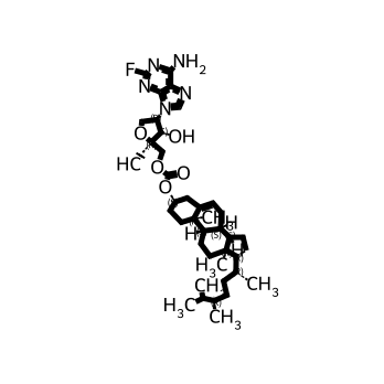 C#C[C@]1(COC(=O)O[C@H]2CC[C@@]3(C)C(=CC[C@H]4[C@@H]5CC[C@H]([C@H](C)CC[C@@H](C)C(C)C)[C@@]5(C)CC[C@@H]43)C2)OC[C@@H](n2cnc3c(N)nc(F)nc32)[C@@H]1O